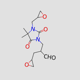 CC1(C)C(=O)N(CC(C=O)CC2CO2)C(=O)N1CC1CO1